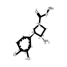 CC(C)(C)OC(=O)N1C[C@H](c2ccc(Cl)c(Cl)c2)[C@@H](N)C1